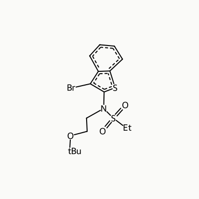 CCS(=O)(=O)N(CCOC(C)(C)C)c1sc2ccccc2c1Br